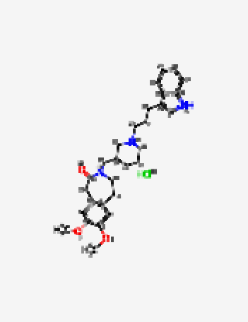 COc1cc2c(cc1OC)CC(=O)N(CC1CCCN(CCCc3c[nH]c4ccccc34)C1)CC2.Cl